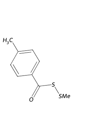 CSSC(=O)c1ccc(C)cc1